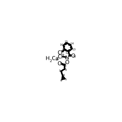 O=C(CCC1CC1)ON(Cl)C(=O)c1ccccc1Cl.[CaH2]